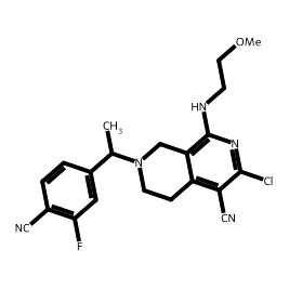 COCCNc1nc(Cl)c(C#N)c2c1CN(C(C)c1ccc(C#N)c(F)c1)CC2